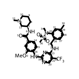 COc1cc(C(=O)N[C@@H]2CCCN(C)C2)ccc1Nc1ncc(C(F)(F)F)c(NCc2ccc(C)cc2N(C)S(C)(=O)=O)n1